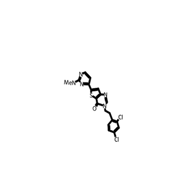 CNc1nccc(-c2cc3ncn(CCc4ccc(Cl)cc4Cl)c(=O)c3s2)n1